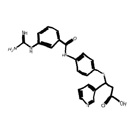 N=C(N)Nc1cccc(C(=O)Nc2ccc(SC(CC(=O)O)c3cccnc3)cc2)c1